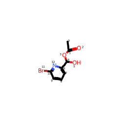 CC(=O)OC(O)c1cccc(Br)n1